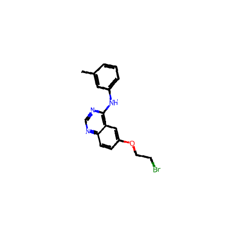 Cc1cccc(Nc2ncnc3ccc(OCCBr)cc23)c1